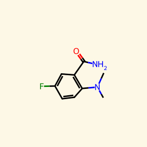 CN(C)c1ccc(F)cc1C(N)=O